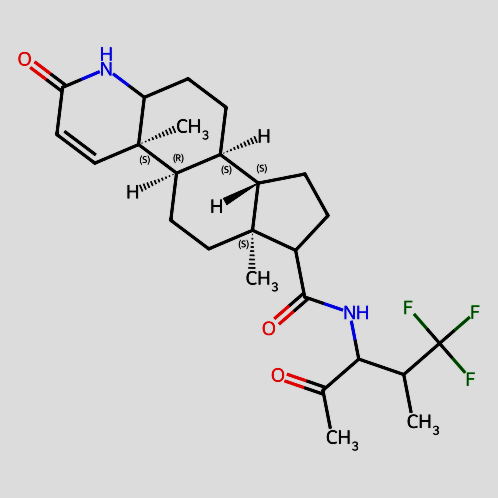 CC(=O)C(NC(=O)C1CC[C@H]2[C@@H]3CCC4NC(=O)C=C[C@]4(C)[C@@H]3CC[C@]12C)C(C)C(F)(F)F